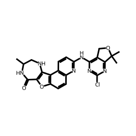 CC1CNc2c(oc3ccc4nc(Nc5nc(Cl)nc6c5COC6(C)C)ccc4c23)C(=O)N1